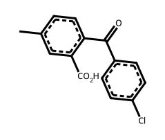 Cc1ccc(C(=O)c2ccc(Cl)cc2)c(C(=O)O)c1